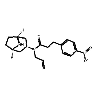 C=CCN(C(=O)CCc1ccc([N+](=O)[O-])cc1)[C@H]1C[C@H]2CC[C@@H](C1)N2